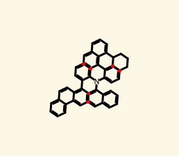 c1ccc(N(c2ccccc2-c2cccc3cccc(C4CCCCC4)c23)c2cccc3ccccc23)c(-c2cccc3c2ccc2ccccc23)c1